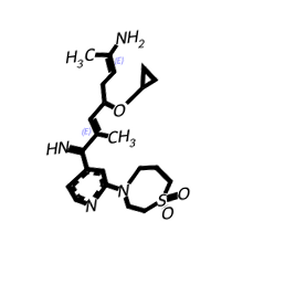 C/C(N)=C\CC(/C=C(\C)C(=N)c1ccnc(N2CCCS(=O)(=O)CC2)c1)OC1CC1